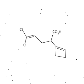 O=C(O)C(CC=C(Cl)Cl)C1=CCC1